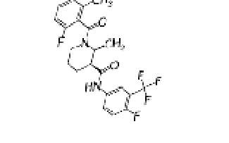 Cc1cccc(F)c1C(=O)N1CCC[C@H](C(=O)Nc2ccc(F)c(C(F)(F)F)c2)[C@@H]1C